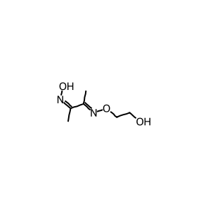 CC(=NO)C(C)=NOCCO